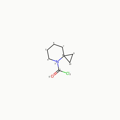 O=C(Cl)N1CCCCC12CC2